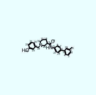 Cc1cccc(-c2ccc(NC(=O)C3CCCN(Cc4cccc(O)c4)C3)cc2)c1